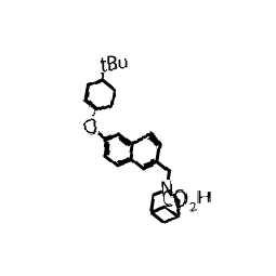 CC(C)(C)[C@H]1CC[C@H](Oc2ccc3cc(CN4CC5CC(C4)C5C(=O)O)ccc3c2)CC1